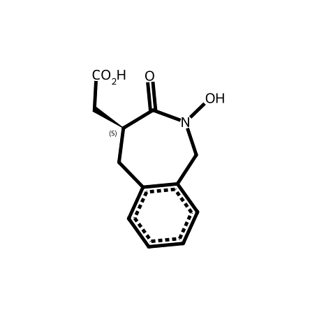 O=C(O)C[C@@H]1Cc2ccccc2CN(O)C1=O